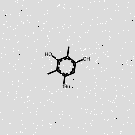 Cc1c(O)cc(C(C)(C)C)c(C)c1O